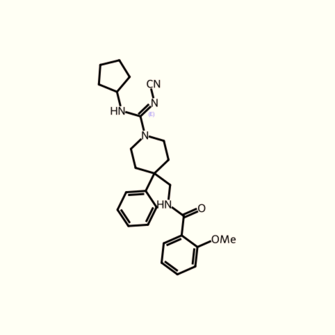 COc1ccccc1C(=O)NCC1(c2ccccc2)CCN(/C(=N/C#N)NC2CCCC2)CC1